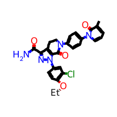 CCOc1ccc(-n2nc(C(N)=O)c3c2C(=O)N(c2ccc(-n4cccc(C)c4=O)cc2)CC3)cc1Cl